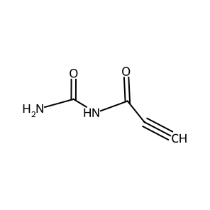 C#CC(=O)NC(N)=O